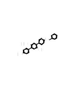 Cc1cc(-c2ccc(OCc3ccccc3)c(Cl)c2)c(C)cc1-c1ccc(O)cc1